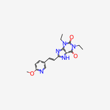 CCn1c(=O)c2[nH]c(/C=C/c3ccc(OC)nc3)nc2n(CC)c1=O